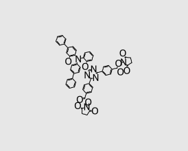 O=C(ON1C(=O)CCC1=O)c1ccc(-c2nc(Oc3ccccc3N3c4ccc(-c5ccccc5)cc4Oc4cc(-c5ccccc5)ccc43)nc(-c3ccc(C(=O)ON4C(=O)CCC4=O)cc3)n2)cc1